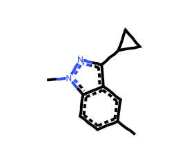 Cc1ccc2c(c1)c(C1CC1)nn2C